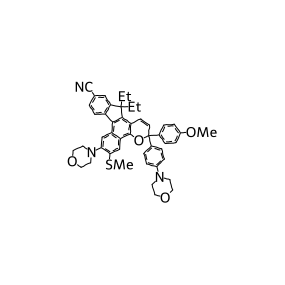 CCC1(CC)c2cc(C#N)ccc2-c2c1c1c(c3cc(SC)c(N4CCOCC4)cc23)OC(c2ccc(OC)cc2)(c2ccc(N3CCOCC3)cc2)C=C1